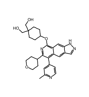 Cc1cc(-c2c(C3CCOCC3)nc(OC3CCC(CO)(CO)CC3)c3cc4[nH]ncc4cc23)ccn1